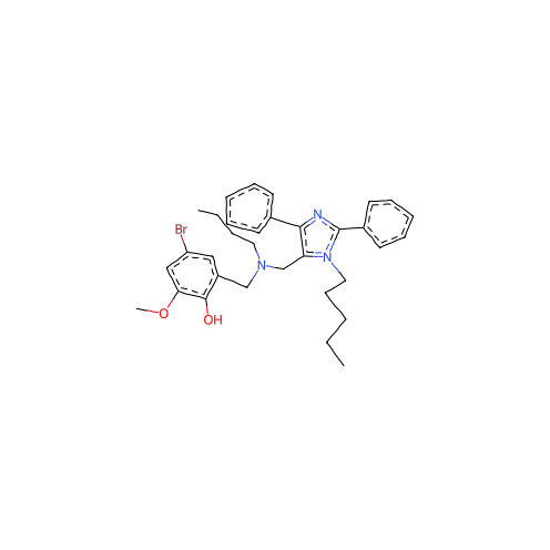 CCCCCn1c(-c2ccccc2)nc(-c2ccccc2)c1CN(CCCC)Cc1cc(Br)cc(OC)c1O